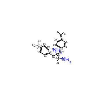 CC(C)c1ccc(CC(N)(Cc2ccc(C(C)C)cc2)C(C)N)cc1